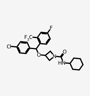 O=C(NC1CCCCC1)N1CC(OC(c2ccc(Cl)cc2)c2ccc(F)cc2C(F)(F)F)C1